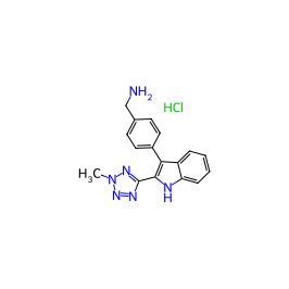 Cl.Cn1nnc(-c2[nH]c3ccccc3c2-c2ccc(CN)cc2)n1